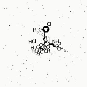 COC[C@@H](N)C(=O)N[C@H](CCOc1ccc(Cl)cc1C)B1OC(C)(C)C(C)(C)O1.Cl